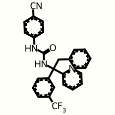 N#Cc1ccc(NC(=O)NC(Cc2ccccc2)(c2cccc(C(F)(F)F)c2)c2ccccn2)cc1